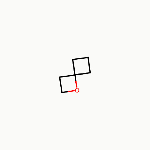 C1CC2(C1)CCO2